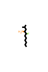 CCCCCCC(F)C(P)CC(C)C